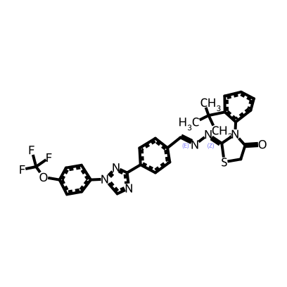 CC(C)(C)c1ccccc1N1C(=O)CS/C1=N\N=C\c1ccc(-c2ncn(-c3ccc(OC(F)(F)F)cc3)n2)cc1